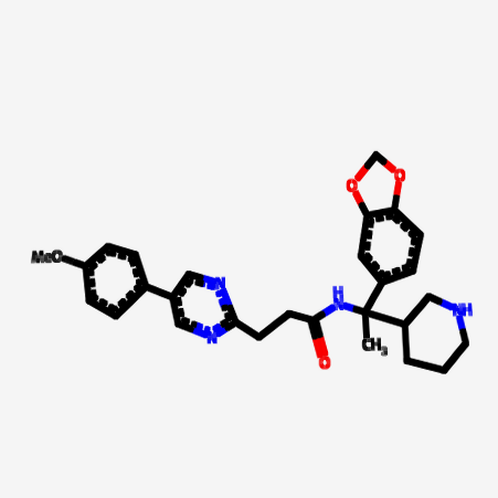 COc1ccc(-c2cnc(CCC(=O)NC(C)(c3ccc4c(c3)OCO4)C3CCCNC3)nc2)cc1